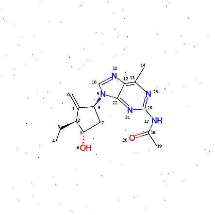 C=C1[C@H](CC)[C@@H](O)C[C@@H]1n1cnc2c(C)nc(NC(C)=O)nc21